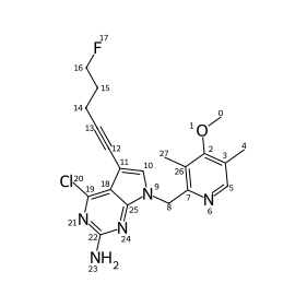 COc1c(C)cnc(Cn2cc(C#CCCCF)c3c(Cl)nc(N)nc32)c1C